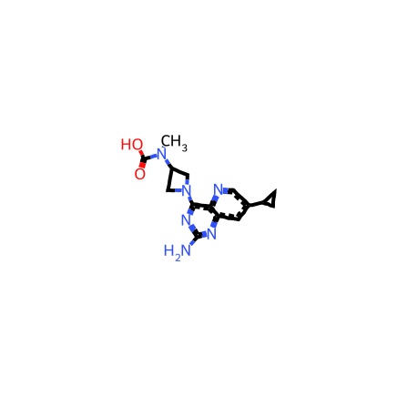 CN(C(=O)O)C1CN(c2nc(N)nc3cc(C4CC4)cnc23)C1